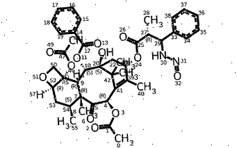 CC(=O)O[C@H]1C(=O)[C@@]2(C)[C@H]([C@H](OC(=O)c3ccccc3)[C@]3(O)C[C@H](OC(=O)[C@H](C)C(NN=O)c4ccccc4)C(C)=C1C3(C)C)[C@]1(OC(C)=O)CO[C@@H]1C[C@@H]2C